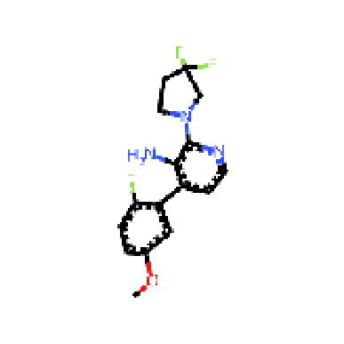 COc1ccc(F)c(-c2ccnc(N3CCC(F)(F)C3)c2N)c1